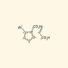 C=CC(=O)O.CC(C)c1ccoc1C(=O)O